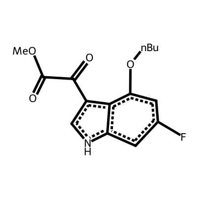 CCCCOc1cc(F)cc2[nH]cc(C(=O)C(=O)OC)c12